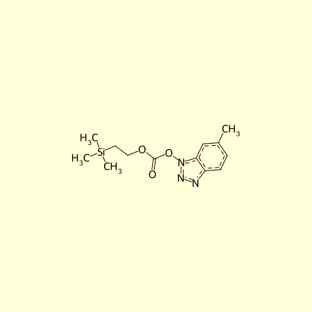 Cc1ccc2nnn(OC(=O)OCC[Si](C)(C)C)c2c1